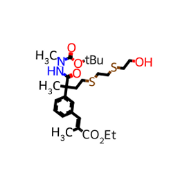 CCOC(=O)C(C)=Cc1cccc(C(C)(CCSCCSCCO)C(=O)NN(C)C(=O)OC(C)(C)C)c1